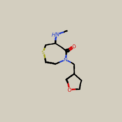 CNC1CSCCN(CC2CCOC2)C1=O